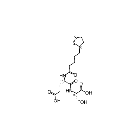 O=C(O)CC[C@H](NC(=O)CCCC[C@@H]1CCSS1)C(=O)N[C@@H](CO)C(=O)O